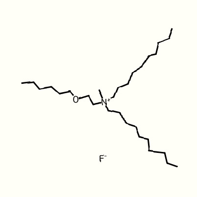 CCCCCCCCCC[N+](C)(CCCCCCCCCC)CCOCCCCCC.[F-]